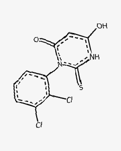 O=c1cc(O)[nH]c(=S)n1-c1cccc(Cl)c1Cl